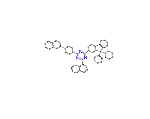 c1ccc(C2(c3ccccc3)c3ccccc3-c3ccc(-c4nc(-c5ccc(-c6ccc7ccccc7c6)cc5)nc(-c5cccc6ccccc56)n4)cc32)cc1